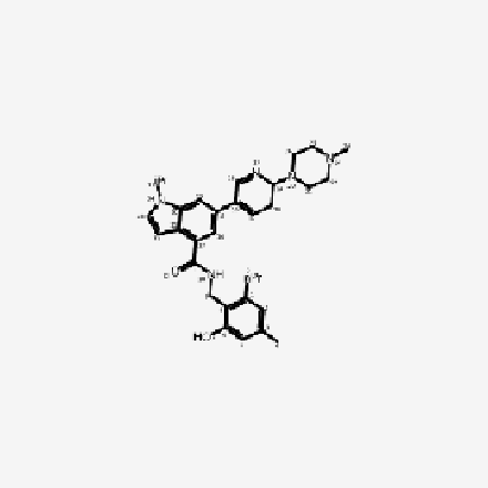 CCCc1cc(C)cc(O)c1CNC(=O)c1cc(C2=CCC(N3CCN(C)CC3)N=C2)cc2c1ccn2C(C)C